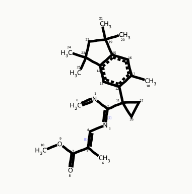 C=N/C(=N\C=C(/C)C(=O)OC)C1(c2cc3c(cc2C)C(C)(C)CC3(C)C)CC1